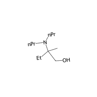 CCCN(CCC)C(C)(CC)CO